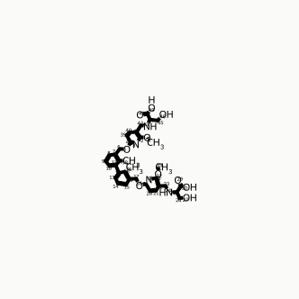 COc1nc(OCc2cccc(-c3cccc(COc4ccc(CNC(CO)C(=O)O)c(OC)n4)c3C)c2C)ccc1CNC(CO)C(=O)O